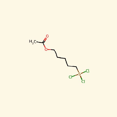 CC(=O)OCCCCCS(Cl)(Cl)Cl